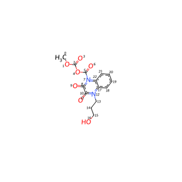 COC(=O)OC(=O)n1c(=O)c(=O)n(CCCO)c2ccccc21